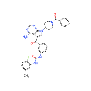 Cc1ccc(F)c(NC(=O)Nc2cccc(C(=O)c3cn(C4CCN(C(=O)c5ccccc5)CC4)c4ncnc(N)c34)c2)c1